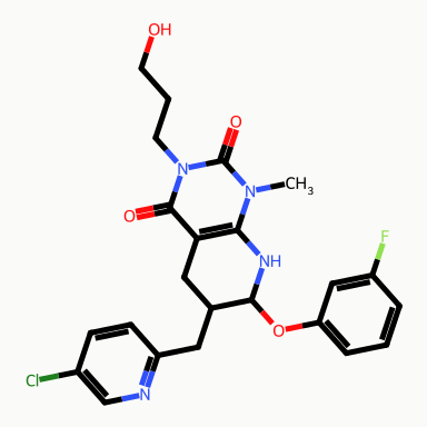 Cn1c2c(c(=O)n(CCCO)c1=O)CC(Cc1ccc(Cl)cn1)C(Oc1cccc(F)c1)N2